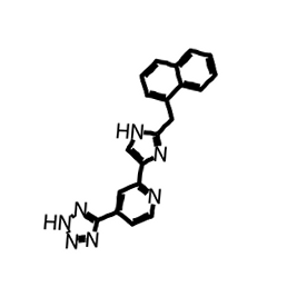 c1ccc2c(Cc3nc(-c4cc(-c5nn[nH]n5)ccn4)c[nH]3)cccc2c1